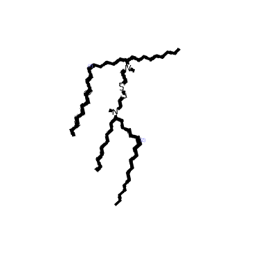 CCCCCCCCCCC/C=C\CCCCC(CCCCCCCCC)N(C)CCSSCCN(C)C(CCCC/C=C\CCCCCCCCCCC)CCCCCCCCC